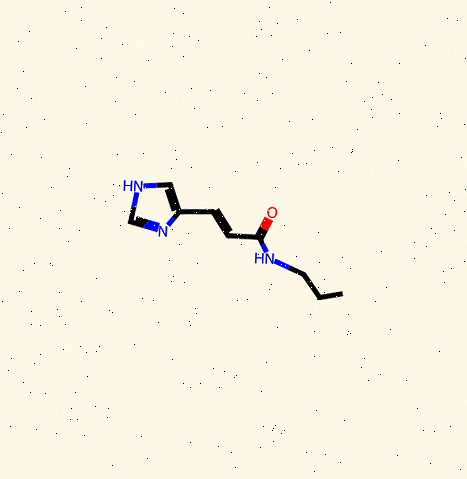 CCCNC(=O)C=Cc1c[nH]cn1